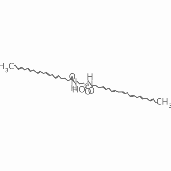 CCC=CCC=CCC=CCC=CCC=CCC=CCCC(=O)N[C@@H](CCCNC(=O)CCCC=CCC=CCC=CCC=CCC=CCC)C(=O)O